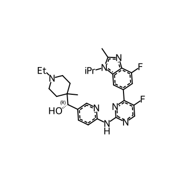 CCN1CCC(C)([C@@H](O)c2ccc(Nc3ncc(F)c(-c4cc(F)c5nc(C)n(C(C)C)c5c4)n3)nc2)CC1